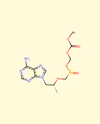 CC(C)OC(=O)OCO[PH](=O)CO[C@H](C)Cn1cnc2c(N)ncnc21